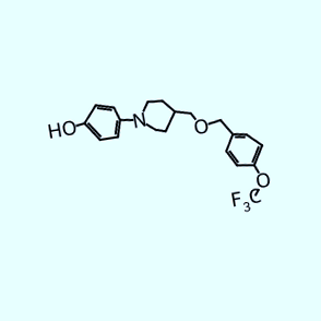 Oc1ccc(N2CCC(COCc3ccc(OC(F)(F)F)cc3)CC2)cc1